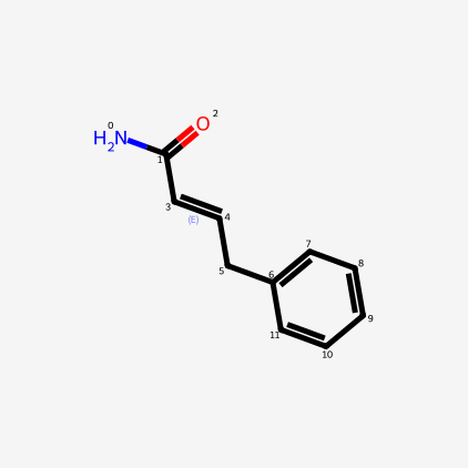 NC(=O)/C=C/Cc1ccccc1